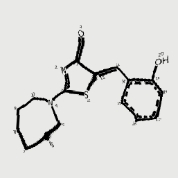 O=C1N=C(N2CCCCCC2)SC1=Cc1ccccc1O